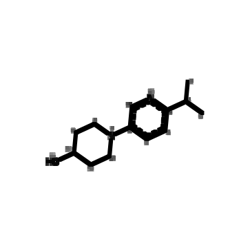 CC(C)c1ccc(N2CCC(O)CC2)cn1